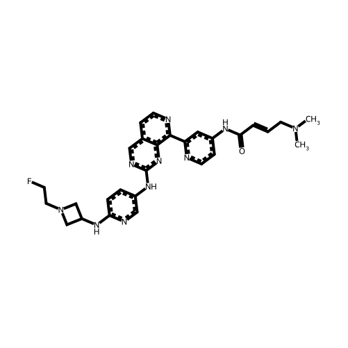 CN(C)CC=CC(=O)Nc1ccnc(-c2nccc3cnc(Nc4ccc(NC5CN(CCF)C5)nc4)nc23)c1